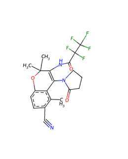 Cc1c(C#N)ccc2c1C(N1CCCC1=O)=C(NC(=O)C(F)(F)C(F)(F)F)C(C)(C)O2